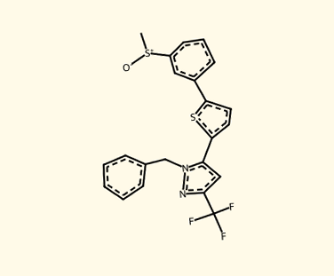 C[S+]([O-])c1cccc(-c2ccc(-c3cc(C(F)(F)F)nn3Cc3ccccc3)s2)c1